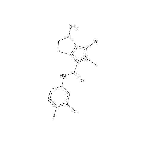 Cn1c(Br)c2c(c1C(=O)Nc1ccc(F)c(Cl)c1)CCC2N